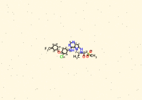 CC(Cn1ccc2ncnc(Nc3ccc(Oc4cccc(C(F)(F)F)c4)c(Cl)c3)c21)NC(=O)CS(C)(=O)=O